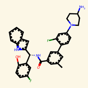 Cc1cc(C(=O)N[C@@H](c2cc3ccccc3[nH]2)c2cc(F)ccc2O)cc(-c2ccc(N3CCC(N)CC3)cc2F)c1